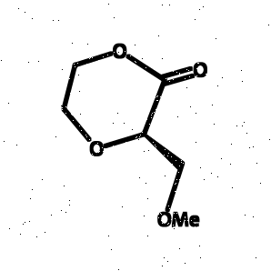 COC[C@H]1OCCOC1=O